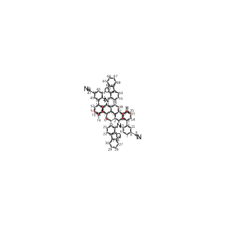 C=Cc1c(N(c2ccc(C#N)cc2-c2ccccc2)c2cccc3c2oc2ccccc23)cc(C(C)C)c2ccc3c(N(c4ccc(C#N)cc4-c4ccccc4)c4cccc5c4oc4ccccc45)cc(C(C)C)c(C)c3c12